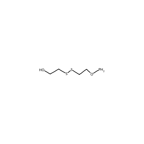 OCCSSCCOP